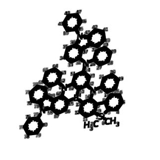 C[Si]1(C)c2ccccc2-c2c1ccc1c2N(c2ccccc2)c2cc(N(c3ccccc3)c3cccc4c3c3ccccc3n4-c3ccccc3)cc3c2B1c1ccc2c(c1N3c1ccccc1)c1ccccc1n2-c1ccccc1